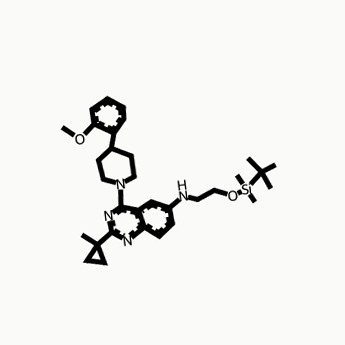 COc1ccccc1C1CCN(c2nc(C3(C)CC3)nc3ccc(NCCO[Si](C)(C)C(C)(C)C)cc23)CC1